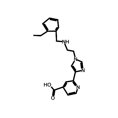 CCc1ccccc1CNCCn1cnc(-c2cc(C(=O)O)ccn2)c1